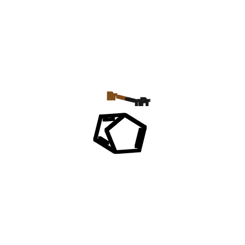 C1=CC2=CC=C1C2.CCCBr